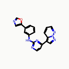 c1cc(Nc2nccc(-c3cnn4ncccc34)n2)cc(-c2cnco2)c1